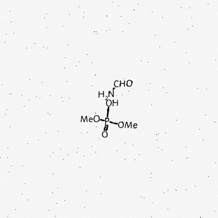 COP(=O)(O)OC.NC=O